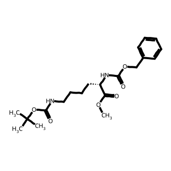 COC(=O)[C@H](CCCCNC(=O)OC(C)(C)C)NC(=O)OCc1ccccc1